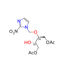 CC(=O)OC[C@H](OCn1ccnc1[N+](=O)[O-])[C@@H](O)COC(C)=O